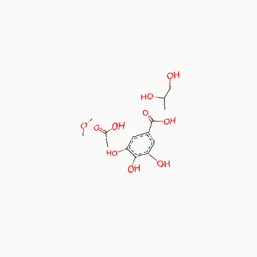 CC(=O)O.CC(O)CO.COC.O=C(O)c1cc(O)c(O)c(O)c1